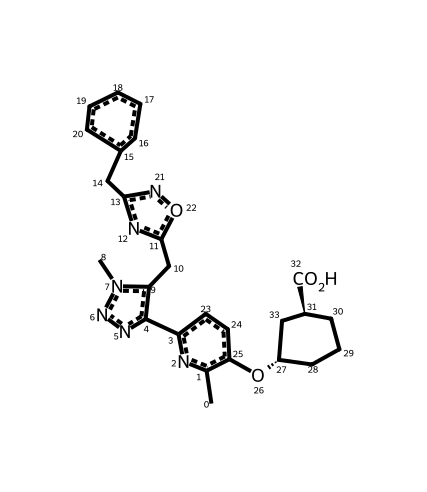 Cc1nc(-c2nnn(C)c2Cc2nc(Cc3ccccc3)no2)ccc1O[C@H]1CCC[C@H](C(=O)O)C1